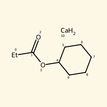 CCC(=O)OC1CCCCC1.[CaH2]